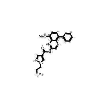 COCCn1cc(C(=O)Nc2cnc3c(-c4ccccc4)ccc(OC)c3n2)cn1